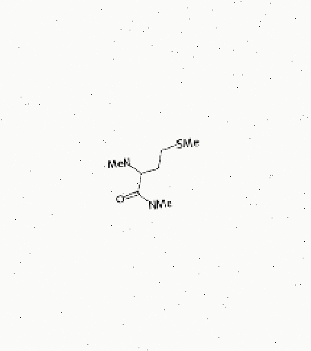 CNC(=O)C(CCSC)NC